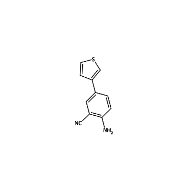 N#Cc1cc(-c2ccsc2)ccc1N